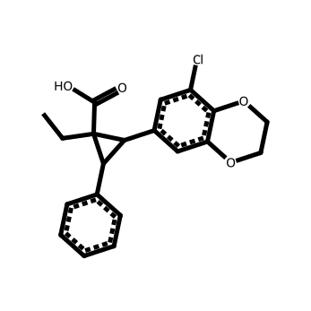 CCC1(C(=O)O)C(c2ccccc2)C1c1cc(Cl)c2c(c1)OCCO2